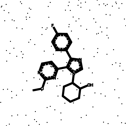 COc1nccc(-c2c(-c3ccc(F)cc3)ncn2C2CCCCC2O)n1